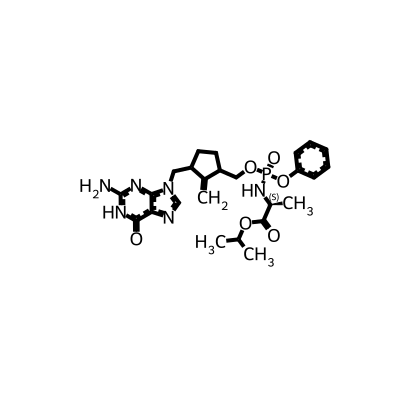 C=C1C(COP(=O)(N[C@@H](C)C(=O)OC(C)C)Oc2ccccc2)CCC1Cn1cnc2c(=O)[nH]c(N)nc21